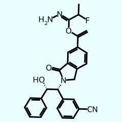 C=C(O/C(=N\N)C(C)F)c1ccc2c(c1)C(=O)N([C@H](c1cccc(C#N)c1)[C@@H](O)c1ccccc1)C2